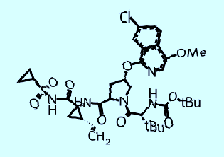 C=C[C@@H]1C[C@]1(NC(=O)C1C[C@@H](Oc2ncc(OC)c3ccc(Cl)cc23)CN1C(=O)[C@@H](NC(=O)OC(C)(C)C)C(C)(C)C)C(=O)NS(=O)(=O)C1CC1